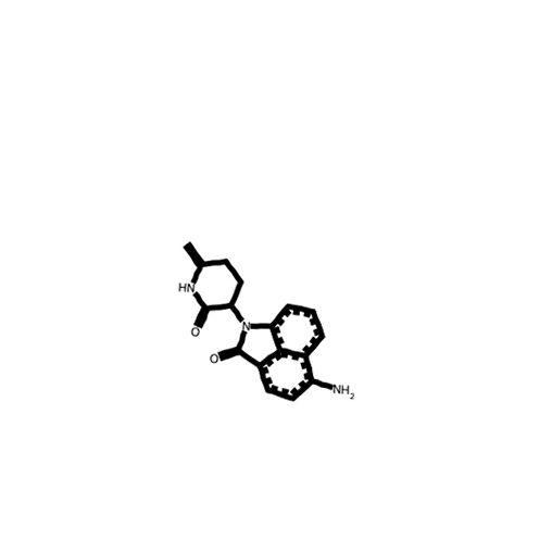 C=C1CCC(N2C(=O)c3ccc(N)c4cccc2c34)C(=O)N1